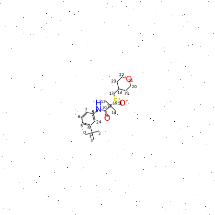 CC(C)(C)c1cccc(NC(=O)C(C)(C)[S@@+]([O-])CC2CCOCC2)c1